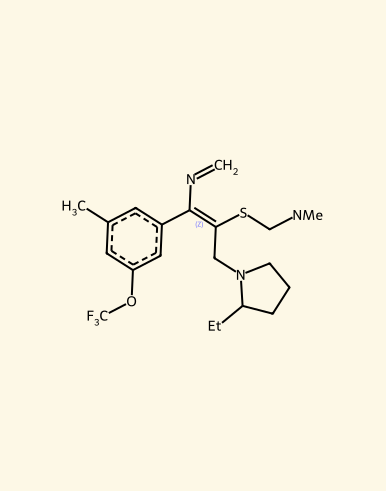 C=N/C(=C(/CN1CCCC1CC)SCNC)c1cc(C)cc(OC(F)(F)F)c1